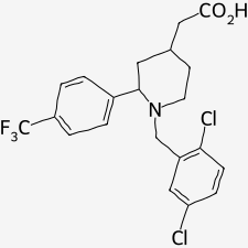 O=C(O)CC1CCN(Cc2cc(Cl)ccc2Cl)C(c2ccc(C(F)(F)F)cc2)C1